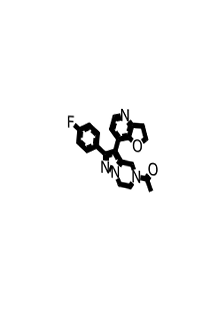 CC(=O)N1CCn2nc(-c3ccc(F)cc3)c(-c3ccnc4c3OCC4)c2C1